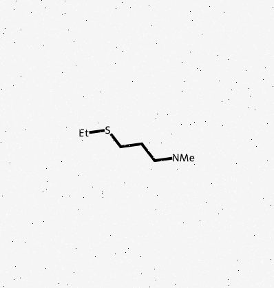 CCSCCCNC